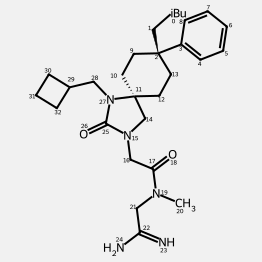 CCC(C)C[C@]1(c2ccccc2)CC[C@]2(CC1)CN(CC(=O)N(C)CC(=N)N)C(=O)N2CC1CCC1